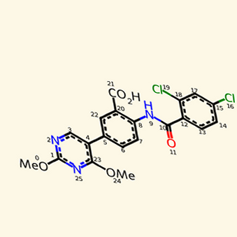 COc1ncc(-c2ccc(NC(=O)c3ccc(Cl)cc3Cl)c(C(=O)O)c2)c(OC)n1